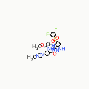 COCC(C)NC1=C(C(=O)Nc2n[nH]c3ccc(S(=O)(=O)c4cc(F)cc(F)c4)cc23)C=CC(N2CCN(C)CC2)C1